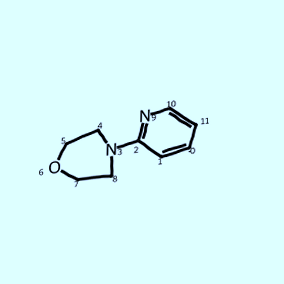 [c]1[c]c(N2CCOCC2)ncc1